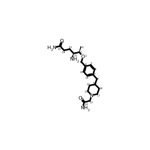 C[C@@H](OCc1ccc(CC2CCN(CC(N)=O)CC2)cc1)[C@@H](N)CCC(N)=O